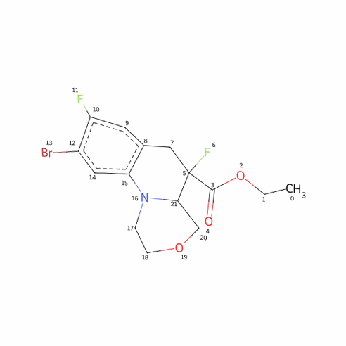 CCOC(=O)C1(F)Cc2cc(F)c(Br)cc2N2CCOCC21